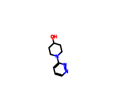 OC1CCN(c2cccnn2)CC1